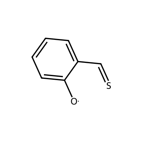 [O]c1ccccc1C=S